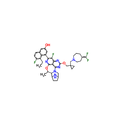 CCc1c(F)ccc2cc(O)cc(-c3nc4c5c(nc(OCC6(CN7CCCC(=C(F)F)CC7)CC6)nc5c3F)N3CC5CCC(N5)C3C(C)O4)c12